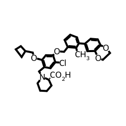 Cc1c(COc2cc(OCC3CCC3)c(CN3CCCC[C@H]3C(=O)O)cc2Cl)cccc1-c1ccc2c(c1)OCCO2